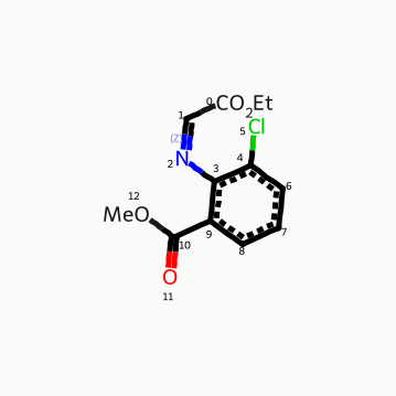 CCOC(=O)/C=N\c1c(Cl)cccc1C(=O)OC